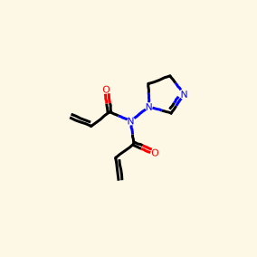 C=CC(=O)N(C(=O)C=C)N1C=NCC1